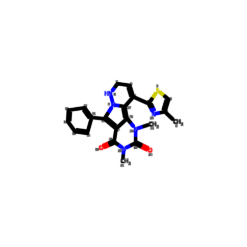 Cc1csc(C2=CCNn3c(-c4ccccc4)c4c(=O)n(C)c(=O)n(C)c4c32)n1